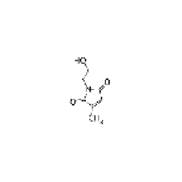 CC1=CC(=O)N(CCO)C1=O